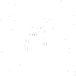 O=C(C(O)C(O)C(O)C(O)CO)S(=O)(=O)O.[Au]